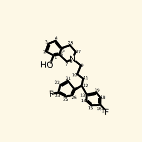 Oc1cccc2c1CN(CCCC(c1ccc(F)cc1)c1ccc(F)cc1)CC2